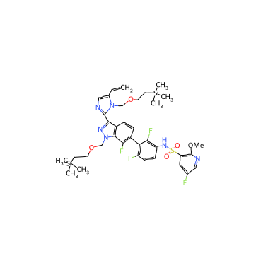 C=Cc1cnc(-c2nn(COCC[Si](C)(C)C)c3c(F)c(-c4c(F)ccc(NS(=O)(=O)c5cc(F)cnc5OC)c4F)ccc23)n1COCC[Si](C)(C)C